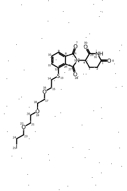 O=C1CCC(N2C(=O)c3cccc(SCCOCCOCCOCCI)c3C2=O)C(=O)N1